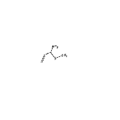 C=CC(N)S[SiH3]